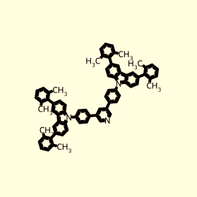 Cc1cccc(C)c1-c1ccc2c(c1)c1cc(-c3c(C)cccc3C)ccc1n2-c1ccc(-c2cncc(-c3ccc(-n4c5ccc(-c6c(C)cccc6C)cc5c5cc(-c6c(C)cccc6C)ccc54)cc3)c2)cc1